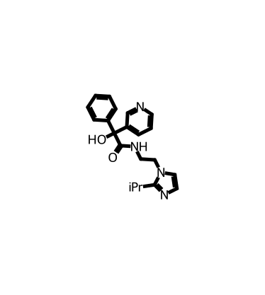 CC(C)c1nccn1CCNC(=O)C(O)(c1ccccc1)c1cccnc1